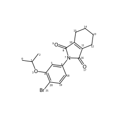 CC(C)Oc1cc(N2C(=O)C3=C(CCCC3)C2=O)ccc1Br